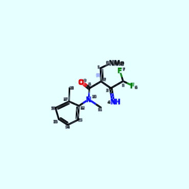 CN/C=C(\C(=N)C(F)F)C(=O)N(C)c1ccccc1C